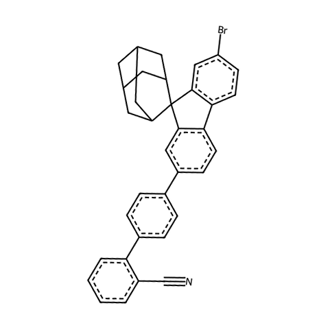 N#Cc1ccccc1-c1ccc(-c2ccc3c(c2)C2(c4cc(Br)ccc4-3)C3CC4CC(C3)CC2C4)cc1